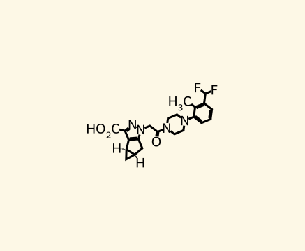 Cc1c(C(F)F)cccc1N1CCN(C(=O)Cn2nc(C(=O)O)c3c2C[C@H]2C[C@@H]32)CC1